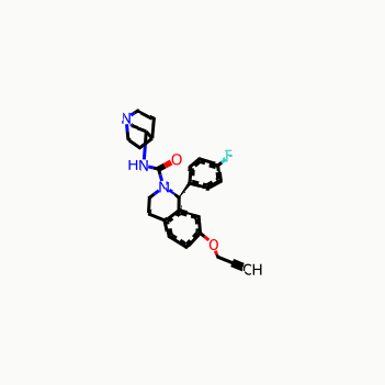 C#CCOc1ccc2c(c1)[C@H](c1ccc(F)cc1)N(C(=O)NC1CN3CCC1CC3)CC2